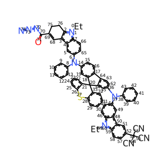 CCn1c2c(c3cc(N(c4ccccc4)c4ccc5c(c4)C4(c6ccccc6Sc6ccccc64)c4cc(N(c6ccccc6)c6ccc7c(c6)c6cc(C(C#N)(C#N)C#N)ccc6n7CC)ccc4-5)ccc31)C=C(C(=O)N=[N+]=[N-])CC2